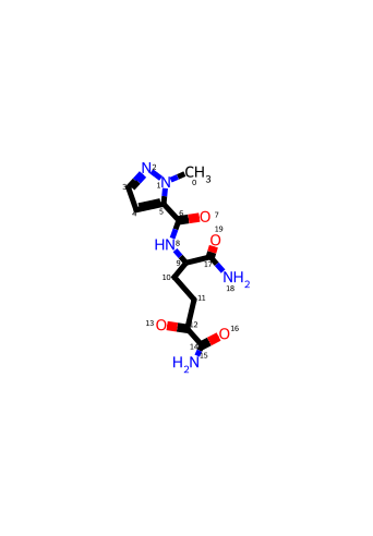 Cn1nccc1C(=O)NC(CCC(=O)C(N)=O)C(N)=O